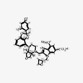 COc1cc(C(=O)O)cc2c1nc(CN1CCN(c3cccc4c3O[C@@](C)(c3ccc(Cl)cc3F)O4)[C@H]3COC[C@H]31)n2C[C@@H]1CCO1